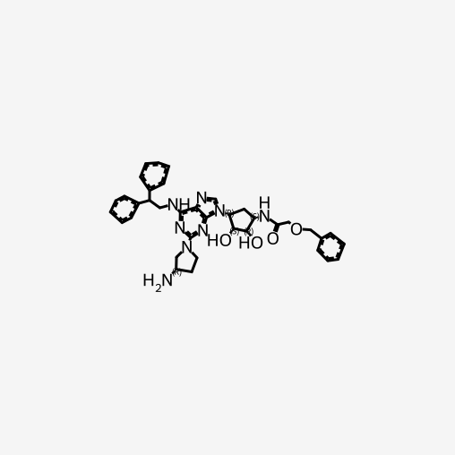 N[C@@H]1CCN(c2nc(NCC(c3ccccc3)c3ccccc3)c3ncn([C@@H]4C[C@H](NC(=O)COCc5ccccc5)[C@@H](O)[C@H]4O)c3n2)C1